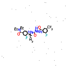 CCN(CC)C(=O)c1ccc([C@@H](C)NC(=O)NNC(=O)c2cc(F)cc(C(F)(F)F)c2)c(F)c1